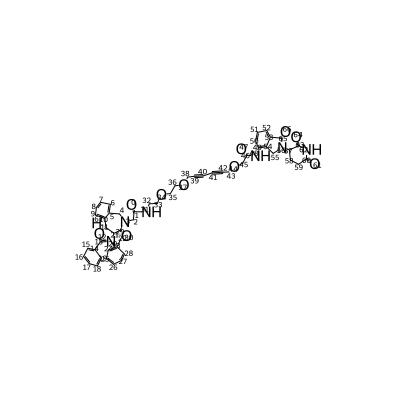 O=C(CN1Cc2ccccc2[C@@H]2OC(c3ccccc3)=N[C@]2(Cc2ccccc2)C1=O)NCCOCCOCC#CC#CCOCC(=O)Nc1cccc2c1CN(C1CCC(=O)NC1=O)C2=O